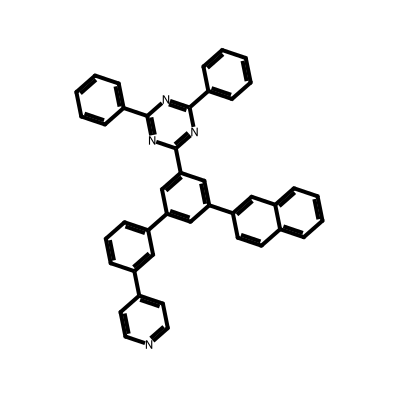 c1ccc(-c2nc(-c3ccccc3)nc(-c3cc(-c4cccc(-c5ccncc5)c4)cc(-c4ccc5ccccc5c4)c3)n2)cc1